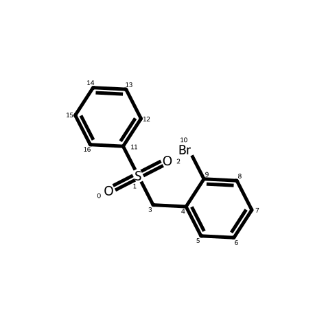 O=S(=O)(Cc1ccccc1Br)c1ccccc1